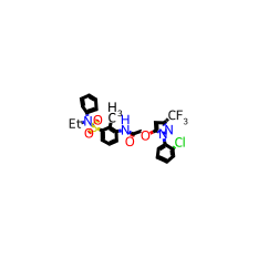 CCN(c1ccccc1)S(=O)(=O)c1cccc(NC(=O)COc2cc(C(F)(F)F)nn2-c2ccccc2Cl)c1C